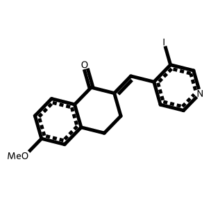 COc1ccc2c(c1)CC/C(=C\c1ccncc1I)C2=O